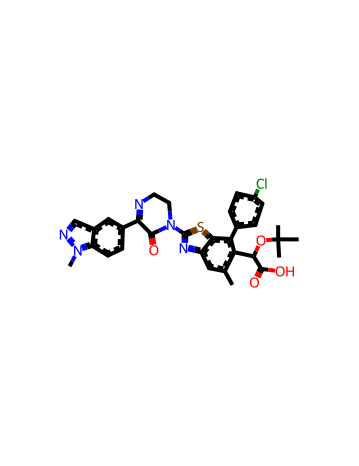 Cc1cc2nc(N3CCN=C(c4ccc5c(cnn5C)c4)C3=O)sc2c(-c2ccc(Cl)cc2)c1C(OC(C)(C)C)C(=O)O